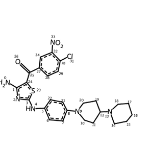 Nc1nc(Nc2ccc(N3CCC(N4CCCCC4)CC3)cc2)sc1C(=O)c1ccc(Cl)c([N+](=O)[O-])c1